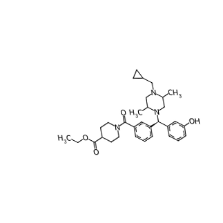 CCOC(=O)C1CCN(C(=O)c2cccc([C@H](c3cccc(O)c3)N3CC(C)N(CC4CC4)CC3C)c2)CC1